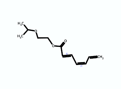 C=C/C=C\C=C\C(=O)OCCOC(C)C